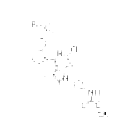 Cc1nn([C@H]2C[C@@H](NC(=O)OC(C)(C)C)C2)c2nc(Cl)nc(N3CCC[C@H]3CO[Si](C)(C)C(C)(C)C)c12